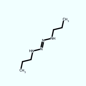 CCCNN=NNCCC